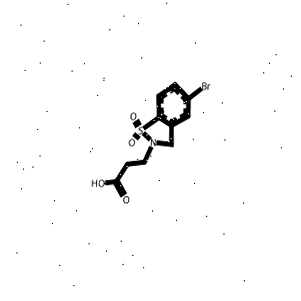 O=C(O)CCN1Cc2cc(Br)ccc2S1(=O)=O